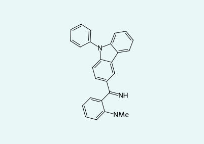 CNc1ccccc1C(=N)c1ccc2c(c1)c1ccccc1n2-c1ccccc1